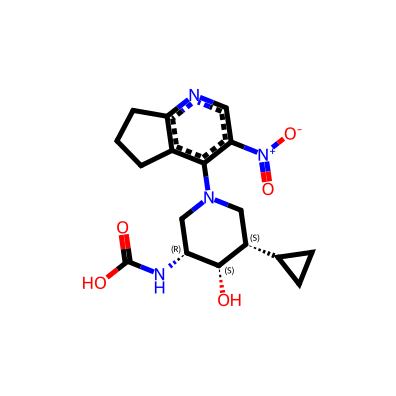 O=C(O)N[C@@H]1CN(c2c([N+](=O)[O-])cnc3c2CCC3)C[C@H](C2CC2)[C@@H]1O